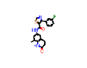 Cc1cc(NC(=O)c2scnc2-c2cccc(F)c2)cc2c1NC(=O)CC2